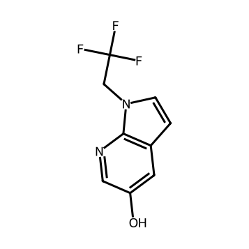 Oc1cnc2c(ccn2CC(F)(F)F)c1